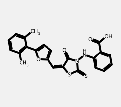 Cc1cccc(C)c1-c1ccc(/C=C2/SC(=S)N(Nc3ccccc3C(=O)O)C2=O)o1